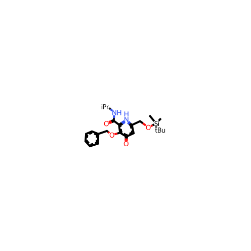 CC(C)NC(=O)c1[nH]c(CO[Si](C)(C)C(C)(C)C)cc(=O)c1OCc1ccccc1